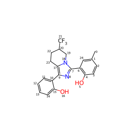 Cc1ccc(O)c(-c2nc(-c3ccccc3O)c3n2CC(C(F)(F)F)CC3)c1